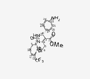 COC(=O)C1=C(CBr)N(c2cccc(C(F)(F)F)c2)C(=O)N[C@@H]1c1ccc(N)cc1